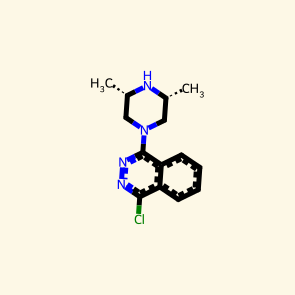 C[C@@H]1CN(c2nnc(Cl)c3ccccc23)C[C@H](C)N1